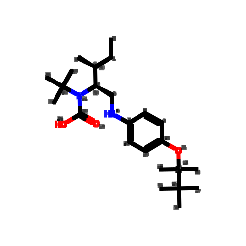 CC[C@H](C)[C@@H](CNc1ccc(O[Si](C)(C)C(C)(C)C)cc1)N(C(=O)O)C(C)(C)C